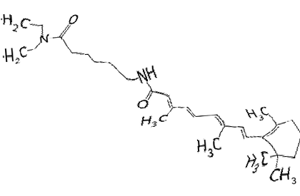 [CH2]CN(C[CH2])C(=O)CCCCCNC(=O)/C=C(C)/C=C/C=C(C)/C=C/C1=C(C)CCCC1(C)C